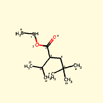 BBOC(=O)C(CC(C)(C)C)C(C)C